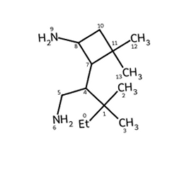 CCC(C)(C)C(CN)C1C(N)CC1(C)C